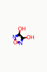 Oc1nonc1O